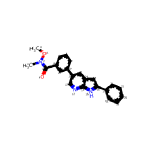 CON(C)C(=O)c1cccc(-c2cnc3[nH]c(-c4ccccc4)cc3c2)c1